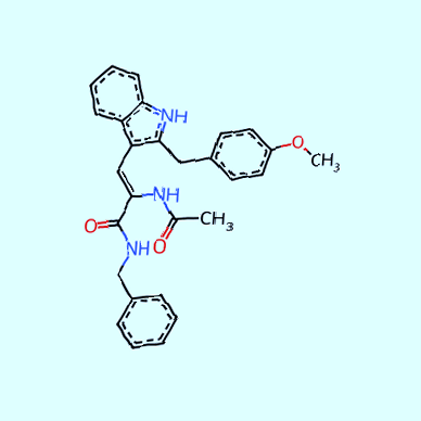 COc1ccc(Cc2[nH]c3ccccc3c2C=C(NC(C)=O)C(=O)NCc2ccccc2)cc1